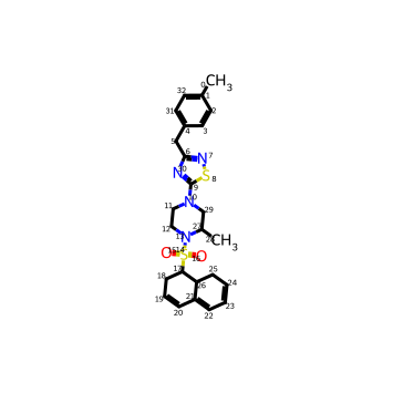 Cc1ccc(Cc2nsc(N3CCN(S(=O)(=O)C4CC=CC5=CC=CCC54)C(C)C3)n2)cc1